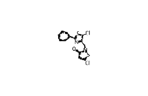 O=c1cc(Cl)sn1Cc1nc(-c2ccccc2)sc1Cl